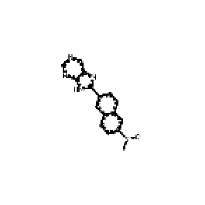 C[S+]([O-])c1ccc2cc(-c3nc4cncnc4[nH]3)ccc2c1